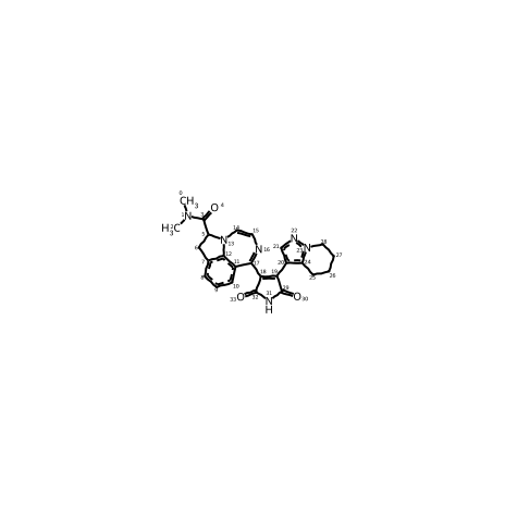 CN(C)C(=O)C1Cc2cccc3c2N1C=CN=C3C1=C(c2cnn3c2CCCC3)C(=O)NC1=O